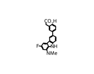 CNc1cc(F)cc2c1[nH]c1ccc(-c3cccc(CC(=O)O)c3)cc12